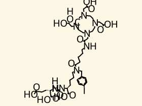 O=C(O)CC[C@H](NC(=O)N[C@@H](CCCCN(Cc1ccc(I)cc1)C(=O)CCCCNC(=O)CN1CCN(CC(=O)O)CCN(CC(=O)O)CCN(CC(O)O)CC1)C(=O)O)C(=O)O